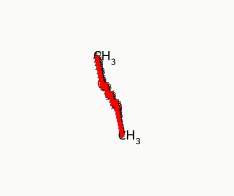 CCCCCCCCCCCCCCCOc1ccc(C=Cc2ccc(C=Cc3ccc(OCCCCCCCCCCCCCCC)cc3)cc2)cc1